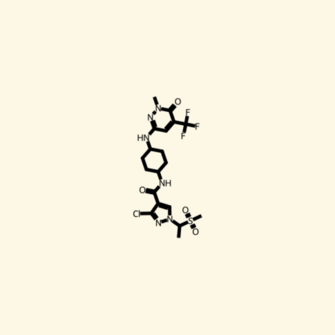 CC(n1cc(C(=O)NC2CCC(Nc3cc(C(F)(F)F)c(=O)n(C)n3)CC2)c(Cl)n1)S(C)(=O)=O